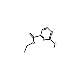 C=C(OCC)c1ccnc(OC)n1